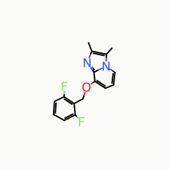 Cc1nc2c(OCc3c(F)cccc3F)cccn2c1C